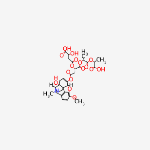 COc1ccc2c3c1O[C@H]1C(OC(=O)C[C@H](OC(=O)C[C@H](O)C(=O)O)C(=O)O[C@@H](C)C(=O)O[C@@H](C)C(=O)O)=CC[C@@]4(O)[C@@H](C2)N(C)CC[C@]314